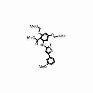 COCOc1cc(Nc2cc(-c3cccc(OC)c3)nn2C)c(C(=O)OC)c(OCOC)c1